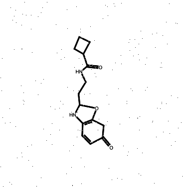 O=C1C=CC2=C(C1)OC(CCNC(=O)C1CCC1)N2